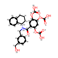 O=C(O)Oc1cc(OC(=O)O)c(C(=O)N(Cc2cccc(CO)c2)[C@H]2CCCc3ccccc32)cc1OC(=O)O